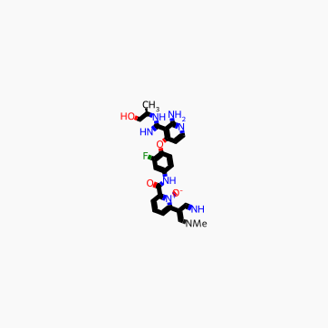 CN/C=C(\C=N)c1cccc(C(=O)Nc2ccc(Oc3ccnc(N)c3C(=N)N[C@H](C)CO)c(F)c2)[n+]1[O-]